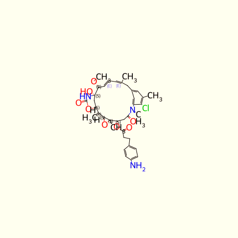 CO[C@@H]1/C=C/C=C(\C)Cc2cc(C)c(Cl)c(c2)N(C)C(=O)C[C@H](OC(=O)CCc2ccc(N)cc2)[C@]2(C)O[C@H]2[C@H](C)[C@@H]2C[C@@]1(O)NC(=O)O2